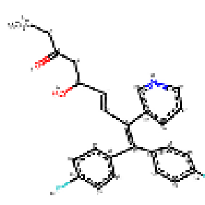 O=C(O)CC(=O)CC(O)C=CC(=C(c1ccc(F)cc1)c1ccc(F)cc1)c1cccnc1